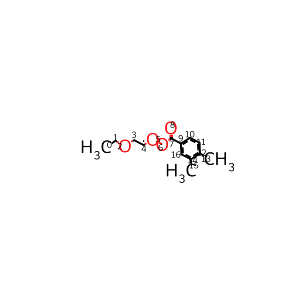 CCOC[CH]OOC(=O)c1ccc(C)c(C)c1